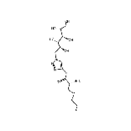 [CH2][CH]CSC[C@@H](N)C(=O)Nc1cn(C[C@H](O)[C@H](O)[C@H](O)[C@H](O)CO)nn1